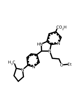 CCOCCN1c2ncc(C(=O)O)cc2NC1c1ccc(N2CCCC2C)nc1